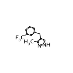 Cc1n[nH]cc1Cc1cccc(C(F)(F)F)c1